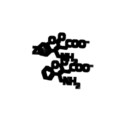 NCc1c(CC(=O)[O-])c(=O)oc2ccccc12.NCc1c(CC(=O)[O-])c(=O)oc2ccccc12.[Zn+2]